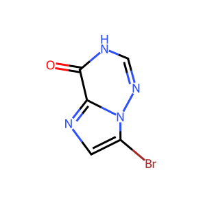 O=c1[nH]cnn2c(Br)cnc12